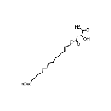 CCCCCCCCCCCCCCCCCCCCCCCCOC(=O)CC(O)C(=O)S